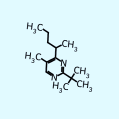 CCCC(C)c1nc(C(C)(C)C)ncc1C